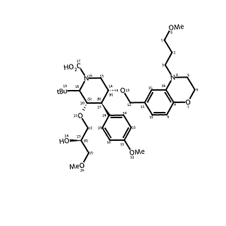 COCCCN1CCOc2ccc(CO[C@H]3CN(C(=O)O)C(C(C)(C)C)[C@@H](OC[C@H](O)COC)[C@@H]3c3ccc(OC)cc3)cc21